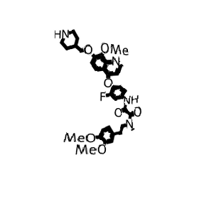 COc1ccc(CCN(C)C(=O)C(=O)Nc2ccc(Oc3ccnc4c(OC)c(OCC5CCNCC5)ccc34)c(F)c2)cc1OC